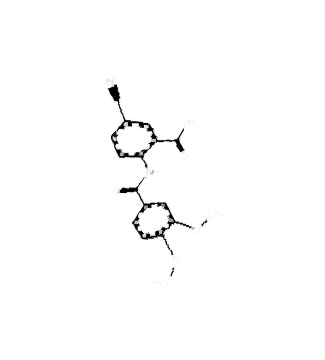 COc1ccc(C(=O)Nc2ccc(C#N)cc2C(=O)O)cc1OC